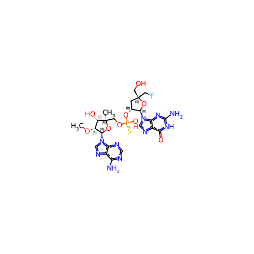 CO[C@H]1[C@H](n2cnc3c(N)ncnc32)O[C@](C)(COP(O)(=S)O[C@@H]2C[C@](CO)(CF)O[C@H]2n2cnc3c(=O)[nH]c(N)nc32)[C@H]1O